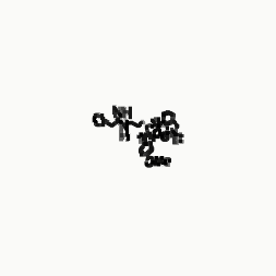 CCN1Cc2cccc(C(=O)N[C@@H](CCCNC(=N)CCl)c3nc4cc(OC)ccc4n3C)c2C1=O